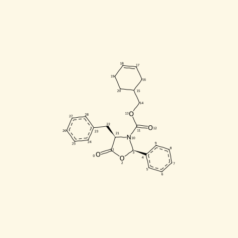 O=C1O[C@H](c2ccccc2)N(C(=O)OCC2CC=CCC2)[C@@H]1Cc1ccccc1